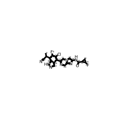 CC(C#N)c1c(F)c(Cl)c(-c2cn3cc(NC(=O)C4CC4F)nc3cn2)c2cn[nH]c12